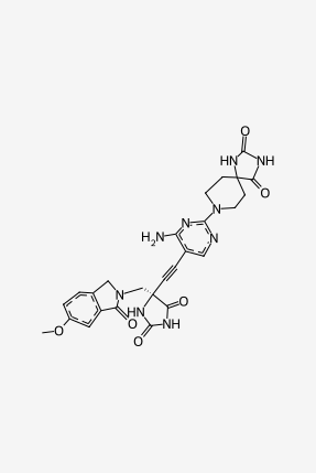 COc1ccc2c(c1)C(=O)N(C[C@@]1(C#Cc3cnc(N4CCC5(CC4)NC(=O)NC5=O)nc3N)NC(=O)NC1=O)C2